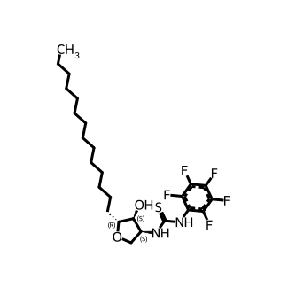 CCCCCCCCCCCCCC[C@H]1OC[C@H](NC(=S)Nc2c(F)c(F)c(F)c(F)c2F)[C@@H]1O